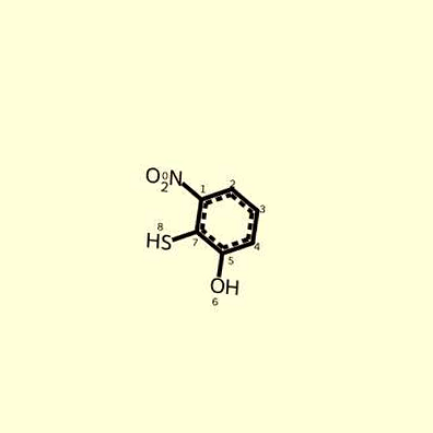 O=[N+]([O-])c1cccc(O)c1S